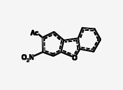 CC(=O)c1cc2c(cc1[N+](=O)[O-])oc1ccccc12